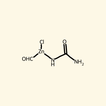 NC(=O)[NH][Zn]([Cl])[CH]=O